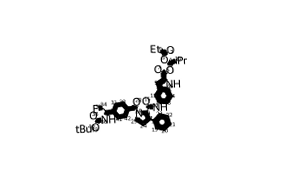 CCC(=O)OC(OC(=O)c1cc2cc(NC(=O)[C@@H]3[C@@H](c4ccccc4)CCN3C(=O)C3CCC([C@@H](CF)NC(=O)OC(C)(C)C)CC3)ccc2[nH]1)C(C)C